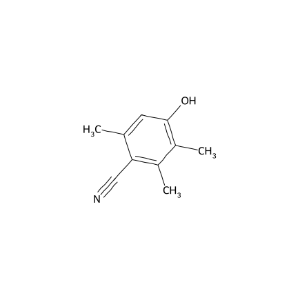 Cc1cc(O)c(C)c(C)c1C#N